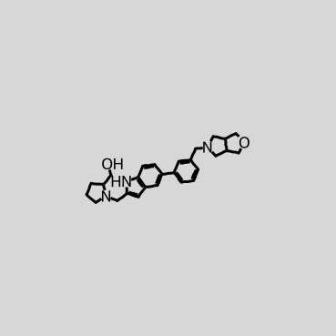 OCC1CCCN1Cc1cc2cc(-c3cccc(CN4CC5COCC5C4)c3)ccc2[nH]1